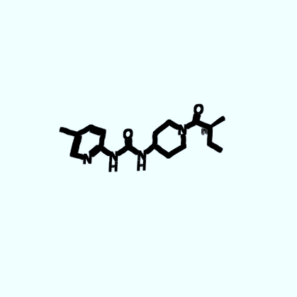 CC[C@H](C)C(=O)N1CCC(NC(=O)Nc2ccc(C)cn2)CC1